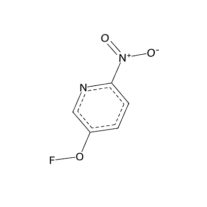 O=[N+]([O-])c1ccc(OF)cn1